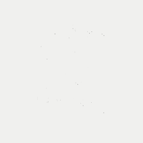 CC1(c2cc(N=[N+]=[N-])ccc2F)CS(O)(O)C(C)(C)C(NC(=O)O)=N1